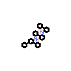 c1ccc(-c2ccc3c(c2)-c2ccccc2B2c4cccc5c4-c4c(cccc4N23)B2c3ccccc3-c3ccccc3N25)cc1